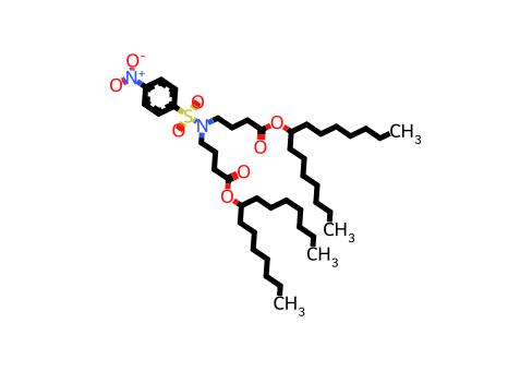 CCCCCCCC(CCCCCCC)OC(=O)CCCN(CCCC(=O)OC(CCCCCCC)CCCCCCC)S(=O)(=O)c1ccc([N+](=O)[O-])cc1